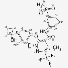 Cc1c(C(F)(F)F)nnc(Oc2ccc(C3(O)CCC3)c(F)c2F)c1C(=O)Nc1cccc(S(C)(=O)=O)c1